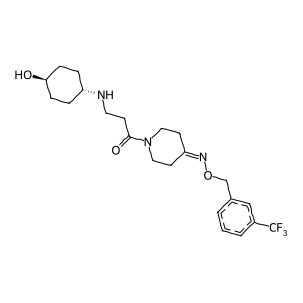 O=C(CCN[C@H]1CC[C@H](O)CC1)N1CCC(=NOCc2cccc(C(F)(F)F)c2)CC1